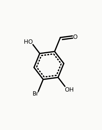 O=Cc1cc(O)c(Br)cc1O